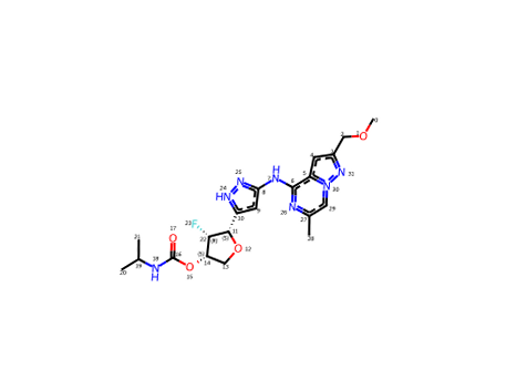 COCc1cc2c(Nc3cc([C@@H]4OC[C@H](OC(=O)NC(C)C)[C@@H]4F)[nH]n3)nc(C)cn2n1